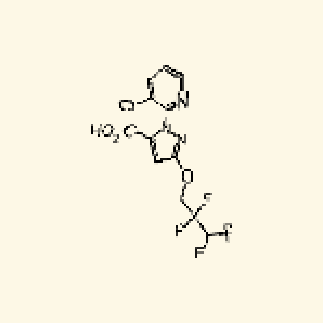 O=C(O)c1cc(OCC(F)(F)C(F)F)nn1-c1ncccc1Cl